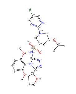 COc1cccc(OC)c1-n1c(NS(=O)(=O)[C@H]2C[C@@H](OC(C)C)CN(c3ncc(F)cn3)C2)nnc1C1CCCO1